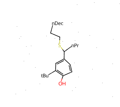 CCCCCCCCCCCCSC(CCC)c1ccc(O)c(C(C)(C)C)c1